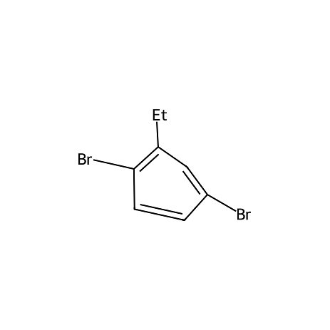 [CH2]Cc1cc(Br)ccc1Br